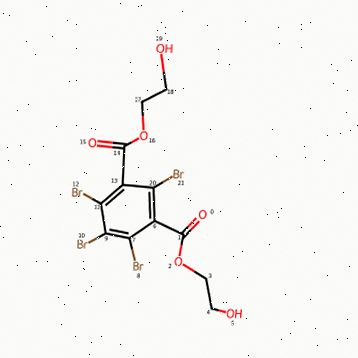 O=C(OCCO)c1c(Br)c(Br)c(Br)c(C(=O)OCCO)c1Br